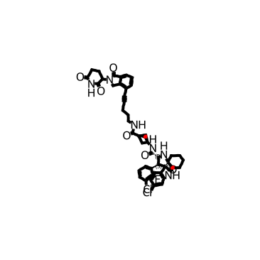 O=C1CCC(N2Cc3c(C#CCCCNC(=O)C45CC(NC(=O)[C@@H]6NC7(CCCCC7)[C@@]7(C(=O)Nc8cc(Cl)ccc87)[C@H]6c6cccc(Cl)c6F)(C4)C5)cccc3C2=O)C(=O)N1